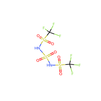 O=S(=O)(NS(=O)(=O)C(F)(F)F)NS(=O)(=O)C(F)(F)F